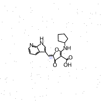 O=C(O)C1=C(NC2CCCC2)O/C(=C\c2c[nH]c3ncccc23)C1=O